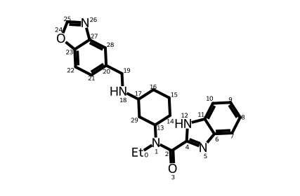 CCN(C(=O)c1nc2ccccc2[nH]1)C1CCCC(NCc2ccc3ocnc3c2)C1